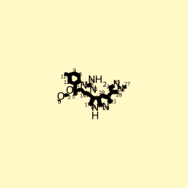 COCOC(C)(c1cccc(C)c1)c1cc(-c2c[nH]c3ncc(-c4cnn(C)c4)cc23)nc(N)n1